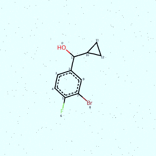 OC(c1ccc(F)c(Br)c1)C1CC1